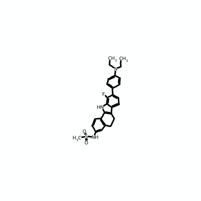 CCN(CC)c1ccc(-c2ccc3c4c([nH]c3c2F)-c2ccc(NS(C)(=O)=O)cc2CC4)cc1